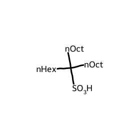 CCCCCCCCC(CCCCCC)(CCCCCCCC)S(=O)(=O)O